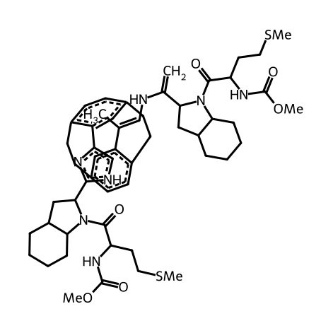 C=C(N/C=C(\C)c1cc2ccc1CCc1ccc(c(-c3c[nH]c(C4CC5CCCCC5N4C(=O)C(CCSC)NC(=O)OC)n3)c1)CC2)C1CC2CCCCC2N1C(=O)C(CCSC)NC(=O)OC